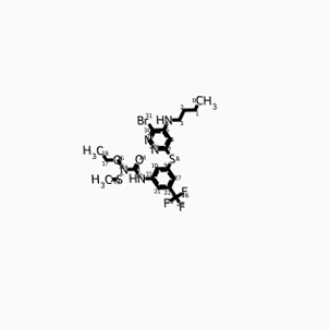 CCCCNc1cc(Sc2cc(NC(=O)N(OCC)SC)cc(C(F)(F)F)c2)nnc1Br